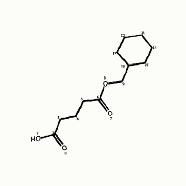 O=C(O)CCCC(=O)OCC1CCCCC1